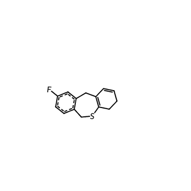 Fc1ccc2c(c1)CC1=C(CCC=C1)SC2